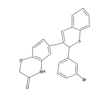 O=C1COc2ccc(C3=Cc4ccccc4SC3c3cccc(Br)c3)cc2N1